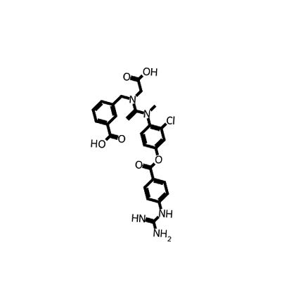 C=C(N(CC(=O)O)Cc1cccc(C(=O)O)c1)N(C)c1ccc(OC(=O)c2ccc(NC(=N)N)cc2)cc1Cl